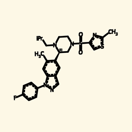 Cc1nc(S(=O)(=O)N2CCN(CC(C)C)[C@H](c3cc4cnn(-c5ccc(F)cc5)c4cc3C)C2)cs1